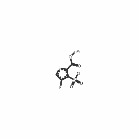 CCCOC(=O)c1scc(F)c1S(=O)(=O)Cl